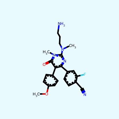 COc1ccc(-c2c(-c3ccc(C#N)c(F)c3)nc(N(C)CCCN)n(C)c2=O)cc1